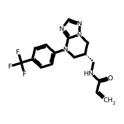 C=CC(=O)NC[C@@H]1CN(c2ccc(C(F)(F)F)cc2)c2ncnn2C1